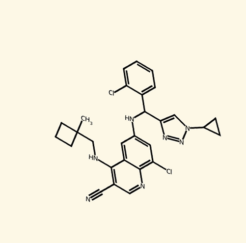 CC1(CNc2c(C#N)cnc3c(Cl)cc(NC(c4cn(C5CC5)nn4)c4ccccc4Cl)cc23)CCC1